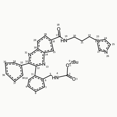 CC(C)(C)OC(=O)NCc1ccccc1-c1nc2cc(C(=O)NCCCn3ccnc3)ccc2nc1-c1ccccc1